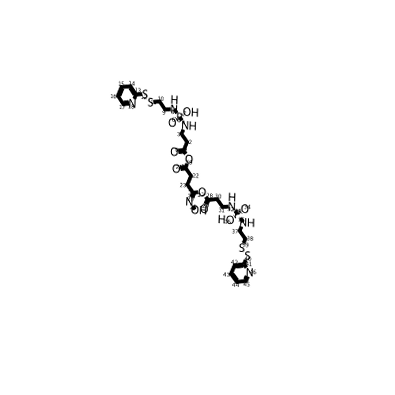 O=C(CCNP(=O)(O)NCCSSc1ccccn1)OC(=O)CC/C(=N/O)OC(=O)CCNP(=O)(O)NCCSSc1ccccn1